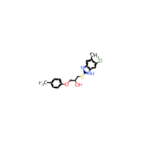 Cc1ccc(OCC(O)CSc2nc3cc(C)c(Cl)cc3[nH]2)cc1